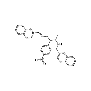 CC(NCc1ccc2ccccc2c1)C(CC=Cc1ccc2ccccc2c1)c1ccc([N+](=O)[O-])cc1